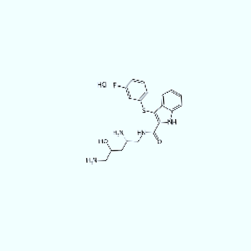 Cl.NCC(O)C[C@H](N)CNC(=O)c1[nH]c2ccccc2c1Sc1cccc(F)c1